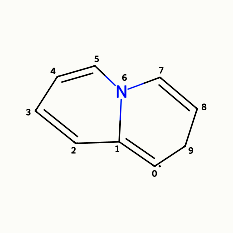 [C]1=C2C=CC=CN2C=CC1